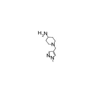 Cn1cc(CN2CCC(N)CC2)cn1